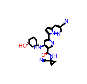 N#Cc1cnn2c(-c3cc(N[C@H]4CCC[C@@H](O)C4)c(C(=O)NC4(C#N)CC4)cn3)ccc2c1